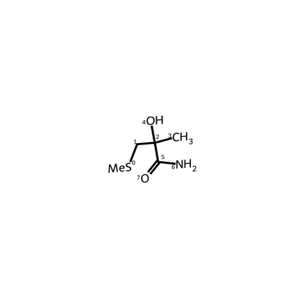 CSCC(C)(O)C(N)=O